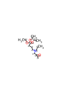 C=CCN(CCC[Si](OCC)(OCC)OCC)CC1CO1